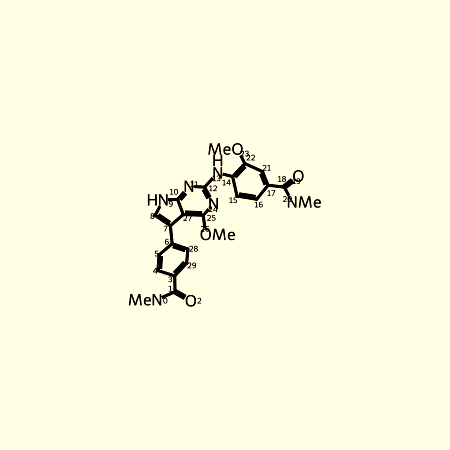 CNC(=O)c1ccc(-c2c[nH]c3nc(Nc4ccc(C(=O)NC)cc4OC)nc(OC)c23)cc1